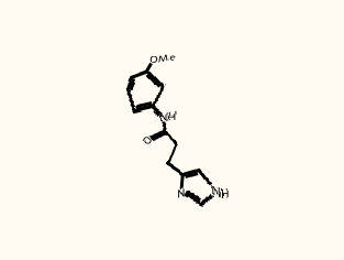 COc1[c]c(NC(=O)CCc2c[nH]cn2)ccc1